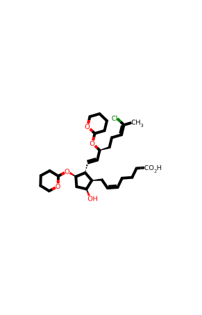 C/C(Cl)=C/CC[C@@H](/C=C/[C@@H]1[C@@H](C/C=C\CCCC(=O)O)[C@@H](O)C[C@H]1OC1CCCCO1)OC1CCCCO1